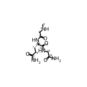 CNCC(=O)N[C@@H](CCC(N)=O)C(=O)NCC(N)=O